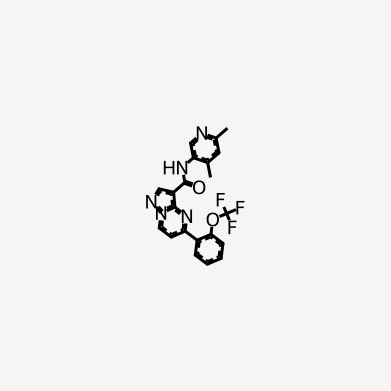 Cc1cc(C)c(NC(=O)c2cnn3ccc(-c4ccccc4OC(F)(F)F)nc23)cn1